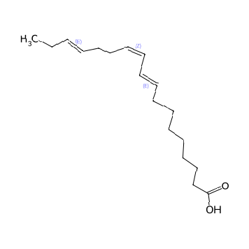 CC/C=C/CC/C=C\C=C\CCCCCCCC(=O)O